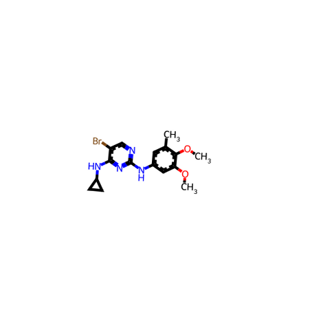 COc1cc(Nc2ncc(Br)c(NC3CC3)n2)cc(C)c1OC